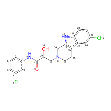 O=C(Nc1cccc(Cl)c1)C(O)CN1CCc2c([nH]c3ccc(Cl)cc23)C1